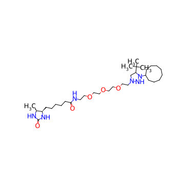 C[C@@H]1NC(=O)N[C@@H]1CCCCCC(=O)NCCOCCOCCOCCN1CC(C(C)(C)C)N(C2CCCCCCCC2)N1